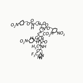 C[C@@H](NC(=O)Cn1nnnc1C(F)(F)F)[C@H]1C(=O)N2C(C(=O)O)=C(S[C@H]3C[C@@H](C(=O)N4CCC(NC(=O)OCc5ccc([N+](=O)[O-])cc5)C4)N(C(=O)OCc4ccc([N+](=O)[O-])cc4)C3)[C@](C)(Cc3ccc([N+](=O)[O-])cc3)[C@H]12